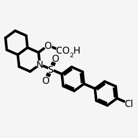 O=C(O)OC1C2CCCCC2CCN1S(=O)(=O)c1ccc(-c2ccc(Cl)cc2)cc1